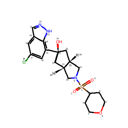 O=S(=O)(C1CCOCC1)N1C[C@@H]2C[C@](O)(c3cc(Cl)cc4cn[nH]c34)C[C@@H]2C1